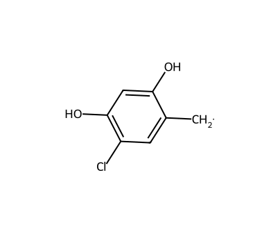 [CH2]c1cc(Cl)c(O)cc1O